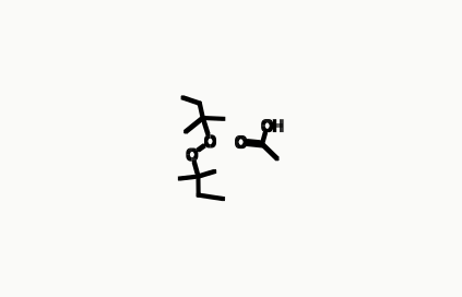 CC(=O)O.CCC(C)(C)OOC(C)(C)CC